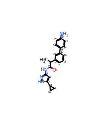 CC(C(=O)Nc1cc(C2CC2)[nH]n1)c1cccc(-c2ccc(N)cc2)c1